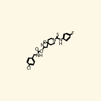 O=C(NCc1ccc(Cl)cc1)OC1=NOC2(CCN(C(=S)Nc3ccc(F)cc3)CC2)C1